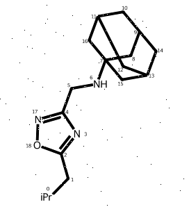 CC(C)Cc1nc(CNC23CC4CC(CC(C4)C2)C3)no1